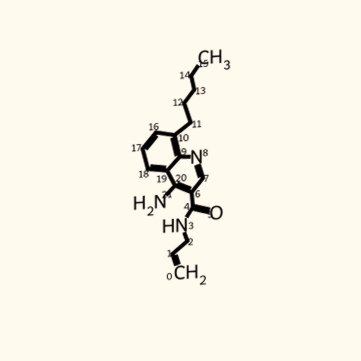 C=CCNC(=O)c1cnc2c(CCCCC)cccc2c1N